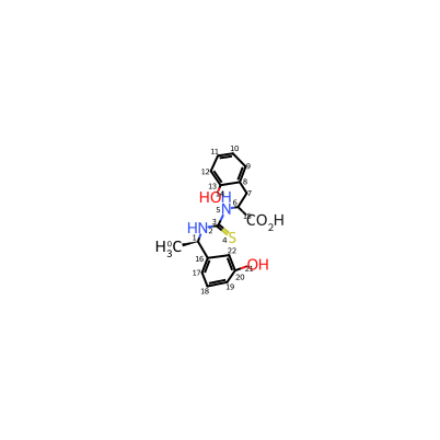 C[C@@H](NC(=S)NC(Cc1ccccc1O)C(=O)O)c1cccc(O)c1